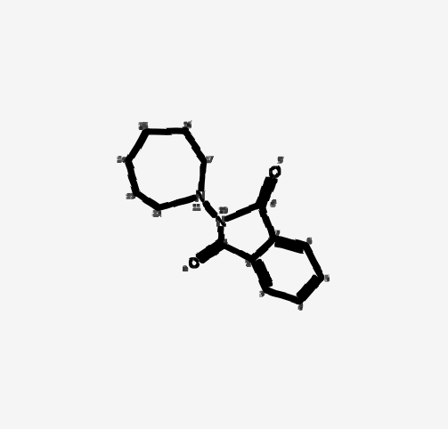 O=C1c2ccccc2C(=O)N1N1CCCCCC1